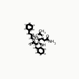 CC(C)C[C@H](CC(N)=O)C(=O)N(O)[C@@H](CC1CCCCC1)C(=S)NCCCc1ccccc1